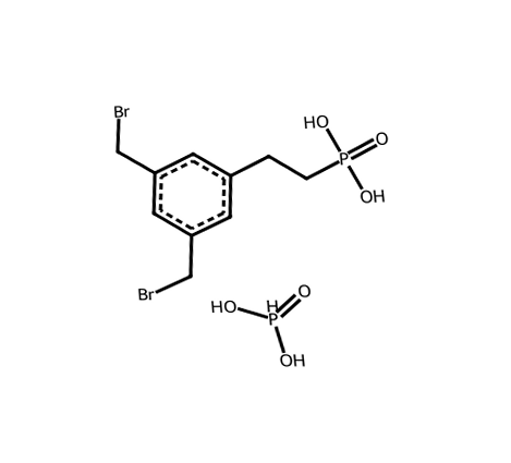 O=P(O)(O)CCc1cc(CBr)cc(CBr)c1.O=[PH](O)O